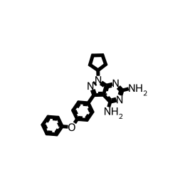 Nc1nc(N)c2c(-c3ccc(Oc4ccccc4)cc3)nn(C3CCCC3)c2n1